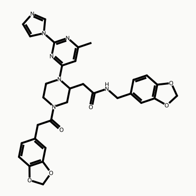 Cc1cc(N2CCN(C(=O)Cc3ccc4c(c3)OCO4)CC2CC(=O)NCc2ccc3c(c2)OCO3)nc(-n2ccnc2)n1